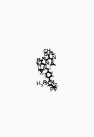 COc1ncnc(C2CC2)c1-c1nc(N(Cc2ccc(-c3nc(C(F)(F)F)cn3C)cc2)C2CC2)c2[nH]cnc2n1